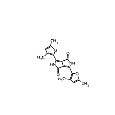 Cc1cc(C)c(C2=C3C(=O)NC(c4oc(C)cc4C)=C3C(=O)N2)o1